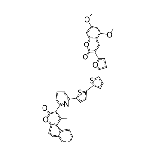 COc1cc(OC)c2cc(-c3ccc(-c4ccc(-c5ccc(-c6cccc(-c7c(C)c8c(ccc9ccccc98)oc7=O)n6)s5)s4)o3)c(=O)oc2c1